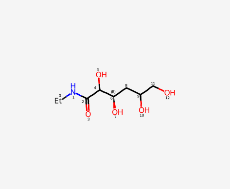 CCNC(=O)C(O)[C@H](O)CC(O)CO